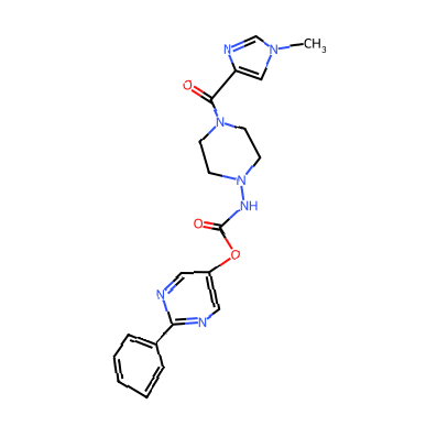 Cn1cnc(C(=O)N2CCN(NC(=O)Oc3cnc(-c4ccccc4)nc3)CC2)c1